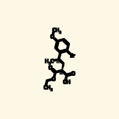 CCOC(=O)[C@H](C[C@@H](C)c1cc(OC)ccc1Br)C(=O)O